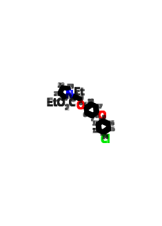 CCOC(=O)C(CC)(COc1ccc(Oc2ccc(Cl)cc2)cc1)N1CCCC1